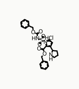 Cl.O=C(NS(=O)(=O)n1ccc(C2CCCN2)c1C(=O)OCc1ccccc1)OCc1ccccc1